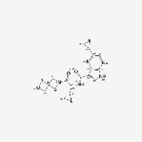 O=C(N[C@@H](C(=O)N1CC2(COC2)C1)C1CC1)c1c[nH]c2ncc(C3CC3)nc12